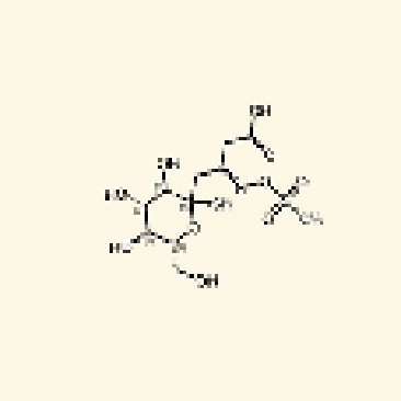 O=C(O)CC(C[C@]1(S)O[C@H](CO)[C@@H](O)[C@H](O)[C@H]1O)=NOS(=O)(=O)O